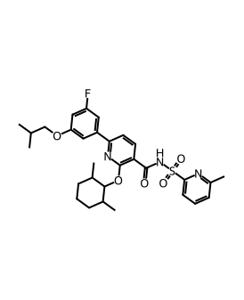 Cc1cccc(S(=O)(=O)NC(=O)c2ccc(-c3cc(F)cc(OCC(C)C)c3)nc2OC2C(C)CCCC2C)n1